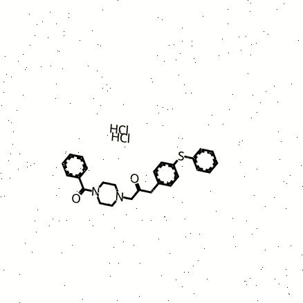 Cl.Cl.O=C(Cc1ccc(Sc2ccccc2)cc1)CN1CCN(C(=O)c2ccccc2)CC1